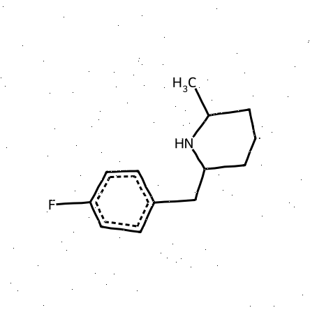 CC1C[CH]CC(Cc2ccc(F)cc2)N1